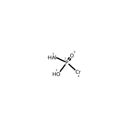 O=[P](O)([AlH])[Cr]